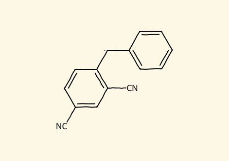 N#Cc1ccc([CH]c2ccccc2)c(C#N)c1